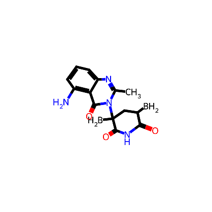 BC1CC(B)(n2c(C)nc3cccc(N)c3c2=O)C(=O)NC1=O